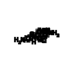 NC[C@H]1CC[C@H](C(=O)NC(Cc2ccccc2)c2ccc(Cl)c(-c3ccc4c(N)n[nH]c4c3)c2)CC1